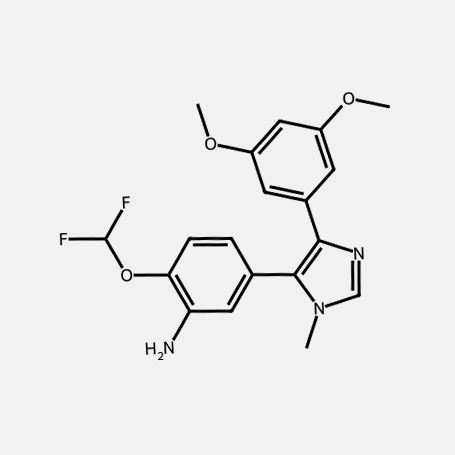 COc1cc(OC)cc(-c2ncn(C)c2-c2ccc(OC(F)F)c(N)c2)c1